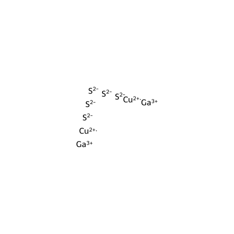 [Cu+2].[Cu+2].[Ga+3].[Ga+3].[S-2].[S-2].[S-2].[S-2].[S-2]